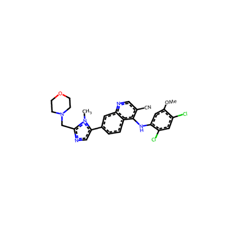 COc1cc(Nc2c(C#N)cnc3cc(-c4cnc(CN5CCOCC5)n4C)ccc23)c(Cl)cc1Cl